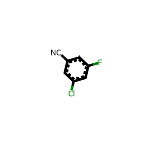 N#Cc1[c]c(F)cc(Cl)c1